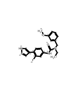 CCN(Cc1cccc(OC)c1)C(=O)Nc1ccc(-c2cn[nH]c2)c(F)c1